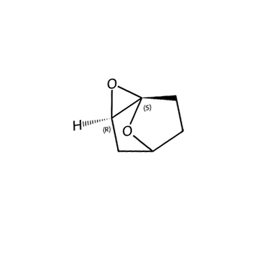 C1C[C@@]23OC1C[C@H]2O3